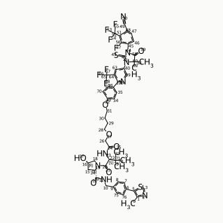 Cc1ncsc1-c1ccc(CNC(=O)[C@@H]2C[C@@H](O)CN2C(=O)[C@@H](NC(=O)COCCCCOc2ccc(-c3ncc(N4C(=S)N(c5ccc(C#N)c(C(F)(F)F)c5F)C(=O)C4(C)C)cc3C(F)(F)F)cc2)C(C)(C)C)cc1